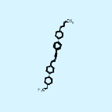 CCCC[C@H]1CC[C@H](c2ccc(C#C/C=C/C3CCC([C@H]4CC[C@H](CC)CC4)CC3)cc2)CC1